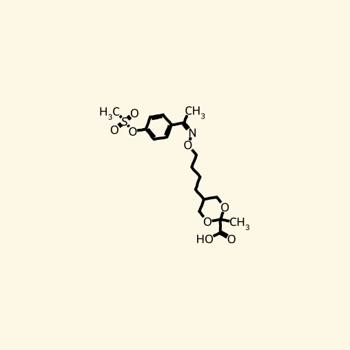 C/C(=N/OCCCCC1COC(C)(C(=O)O)OC1)c1ccc(OS(C)(=O)=O)cc1